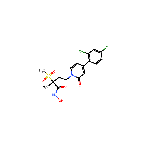 C[C@@](CCn1ccc(-c2ccc(Cl)cc2Cl)cc1=O)(C(=O)NO)S(C)(=O)=O